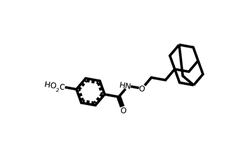 O=C(O)c1ccc(C(=O)NOCCC23CC4CC(CC(C4)C2)C3)cc1